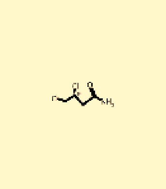 NC(=O)C[C@H](Cl)CCl